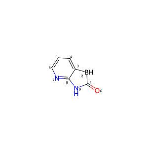 O=C1Bc2cccnc2N1